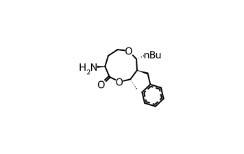 CCCC[C@H]1OCC[C@H](N)C(=O)O[C@@H](C)[C@@H]1Cc1ccccc1